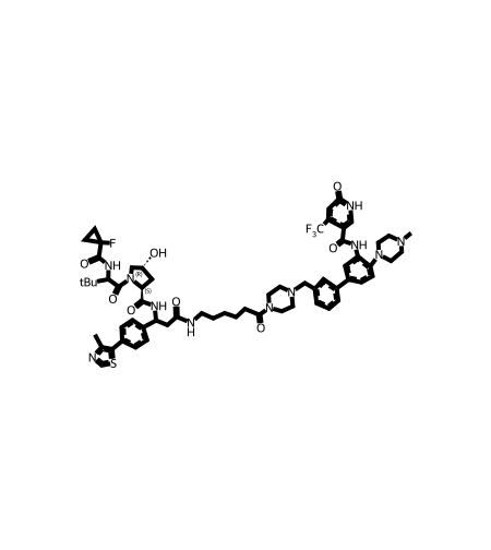 Cc1ncsc1-c1ccc(C(CC(=O)NCCCCCC(=O)N2CCN(Cc3cccc(-c4ccc(N5CCN(C)CC5)c(NC(=O)c5c[nH]c(=O)cc5C(F)(F)F)c4)c3)CC2)NC(=O)[C@@H]2C[C@@H](O)CN2C(=O)C(NC(=O)C2(F)CC2)C(C)(C)C)cc1